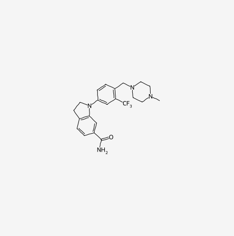 CN1CCN(Cc2ccc(N3CCc4ccc(C(N)=O)cc43)cc2C(F)(F)F)CC1